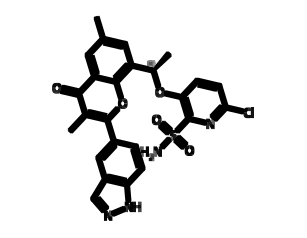 Cc1cc([C@@H](C)Oc2ccc(Cl)nc2S(N)(=O)=O)c2oc(-c3ccc4[nH]ncc4c3)c(C)c(=O)c2c1